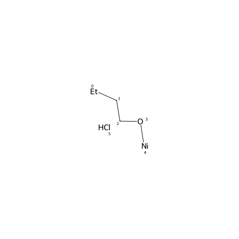 CCCC[O][Ni].Cl